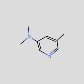 Cc1cncc(N(C)C)c1